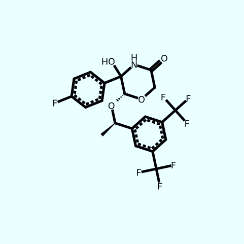 C[C@@H](O[C@H]1OCC(=O)NC1(O)c1ccc(F)cc1)c1cc(C(F)(F)F)cc(C(F)(F)F)c1